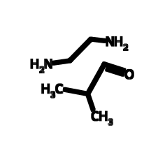 CC(C)C=O.NCCN